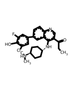 CCC(=O)c1cnc2ccc(-c3cc(F)c(O)c(Cl)c3)cc2c1N[C@H]1CC[C@H](N(C)C)CC1